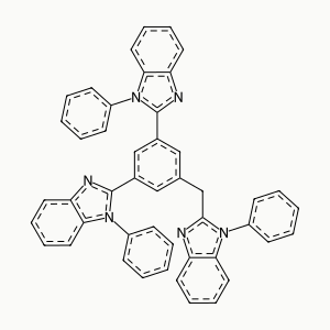 c1ccc(-n2c(Cc3cc(-c4nc5ccccc5n4-c4ccccc4)cc(-c4nc5ccccc5n4-c4ccccc4)c3)nc3ccccc32)cc1